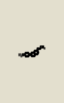 CCOC1CCC2CCC(N3CCN(C)CC3)CC2C1